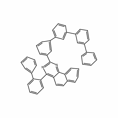 c1ccc(-c2cccc(-c3cccc(-c4cccc(-c5nc(-c6ccccc6-c6ccccc6)c6ccc7ccccc7c6n5)c4)c3)c2)cc1